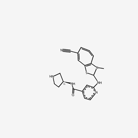 CN1C2=C(C=C(C#N)C=C=C2)SC1Nc1cc(C(=O)N[C@H]2CCNC2)ccn1